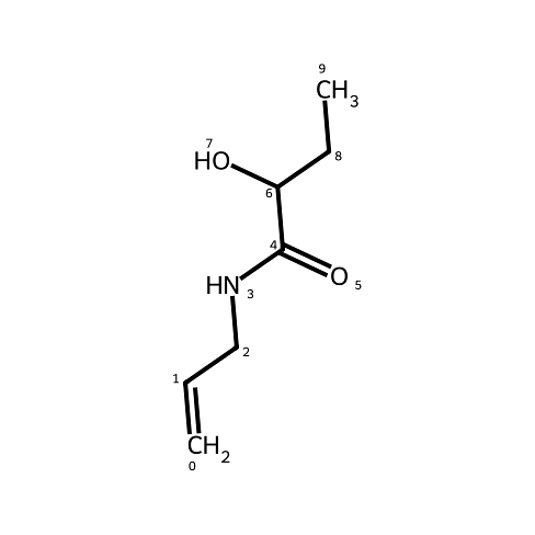 C=CCNC(=O)C(O)CC